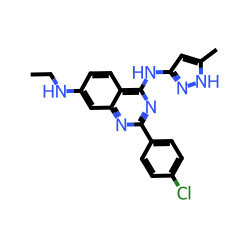 CCNc1ccc2c(Nc3cc(C)[nH]n3)nc(-c3ccc(Cl)cc3)nc2c1